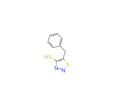 Sc1nnsc1Cc1ccccc1